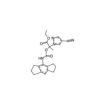 CCOC(=O)C(C)(OC(=O)Nc1c2c(cc3c1CCC3)CCC2)n1cc(C#N)cn1